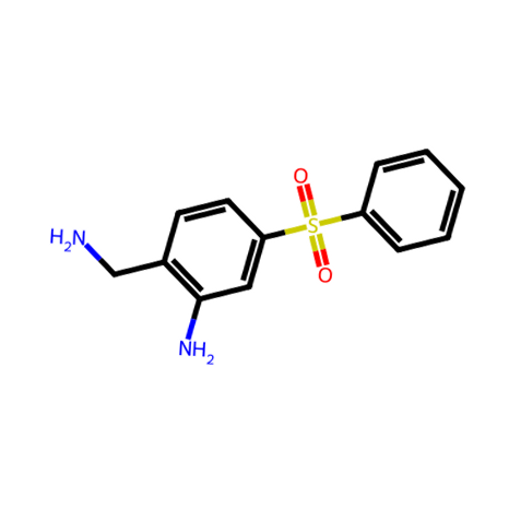 NCc1ccc(S(=O)(=O)c2ccccc2)cc1N